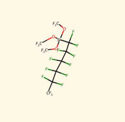 FC(F)(F)O[Si](OC(F)(F)F)(OC(F)(F)F)C(F)(F)C(F)(F)C(F)(F)C(F)(F)C(F)(F)C(F)(F)F